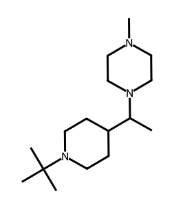 CC(C1CCN(C(C)(C)C)CC1)N1CCN(C)CC1